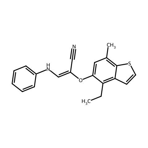 CCc1c(O/C(C#N)=C/Nc2ccccc2)cc(C)c2sccc12